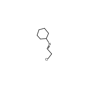 ClCC=NC1CCCCC1